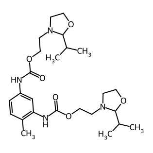 Cc1ccc(NC(=O)OCCN2CCOC2C(C)C)cc1NC(=O)OCCN1CCOC1C(C)C